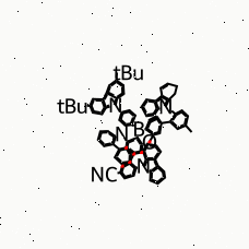 Cc1ccc(-n2c3c(c4ccccc42)C=CCC3)c(-c2c#cc3c(c2)Oc2cc(-c4cc(C#N)ccc4-n4c5ccccc5c5ccccc54)cc4c2B3c2ccc(-n3c5ccc(C(C)(C)C)cc5c5cc(C(C)(C)C)ccc53)cc2N4c2ccccc2-c2ccccc2)c1